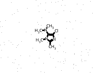 Cc1nc(Cl)c(N(C)C)n1C